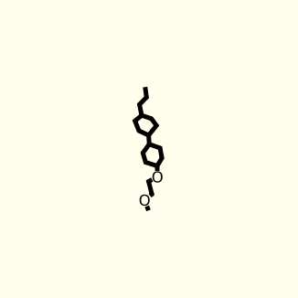 CCCC1CCC(C2CCC(OCCOC)CC2)CC1